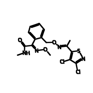 CNC(=O)/C(=N/OC)c1ccccc1CO/N=C(\C)c1snc(Cl)c1Cl